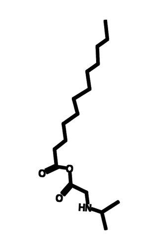 CCCCCCCCCCCC(=O)OC(=O)CNC(C)C